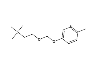 Cc1ccc(OCOCCS(C)(C)C)cn1